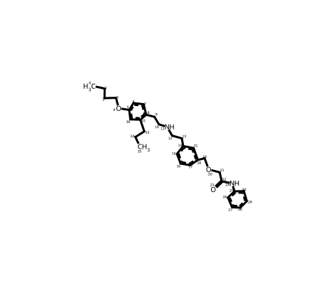 CCCCOc1ccc(CCNCCc2cccc(COCC(=O)Nc3ccccc3)c2)c(CCC)c1